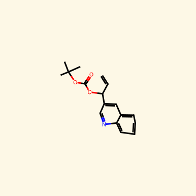 C=CC(OC(=O)OC(C)(C)C)c1cnc2ccccc2c1